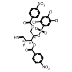 N=C[C@@H](F)[C@H](OC(=O)c1ccc([N+](=O)[O-])cc1)[C@@H](COC(=O)c1ccc([N+](=O)[O-])cc1)OS(=O)(=O)c1cc(Cl)c(Cl)cc1Cl